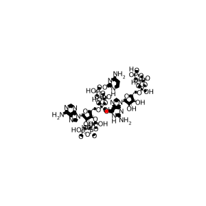 Nc1cc[nH]c(=O)n1.Nc1nc2c(ncn2[C@@H]2O[C@H](COP(=O)(O)OP(=O)(O)OP(=O)(O)O)[C@@H](O)[C@H]2O)c(=O)[nH]1.Nc1ncnc2c1ncn2[C@@H]1O[C@H](COP(=O)(O)OP(=O)(O)OP(=O)(O)O)[C@@H](OP(=O)(O)OP(=O)(O)OP(=O)(O)O)[C@H]1O